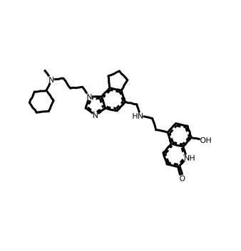 CN(CCCn1cnc2cc(CNCCc3ccc(O)c4[nH]c(=O)ccc34)c3c(c21)CCC3)C1CCCCC1